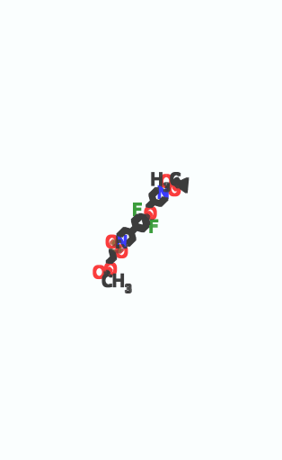 CC(=O)OCCCS(=O)(=O)N1CCC(c2cc(F)c(OCC3CCN(C(=O)OC4(C)CC4)CC3)c(F)c2)CC1